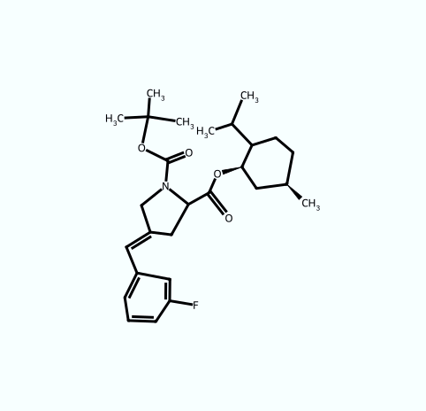 CC(C)C1CC[C@@H](C)C[C@H]1OC(=O)C1C/C(=C\c2cccc(F)c2)CN1C(=O)OC(C)(C)C